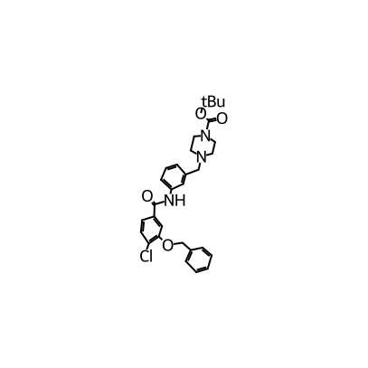 CC(C)(C)OC(=O)N1CCN(Cc2cccc(NC(=O)c3ccc(Cl)c(OCc4ccccc4)c3)c2)CC1